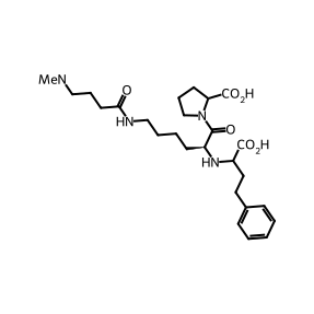 CNCCCC(=O)NCCCC[C@H](NC(CCc1ccccc1)C(=O)O)C(=O)N1CCCC1C(=O)O